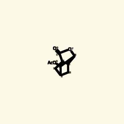 [CH2]C(=O)OC1C2CC3C(=O)OC1C3C2